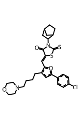 O=C1/C(=C/c2oc(-c3ccc(Cl)cc3)cc2CCCCN2CCOCC2)SC(=S)N1C1CC2CCC1C2